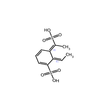 C/C=c1/c(S(=O)(=O)O)ccc/c1=C(/C)S(=O)(=O)O